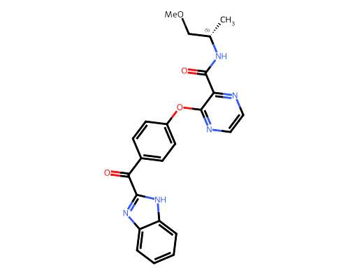 COC[C@H](C)NC(=O)c1nccnc1Oc1ccc(C(=O)c2nc3ccccc3[nH]2)cc1